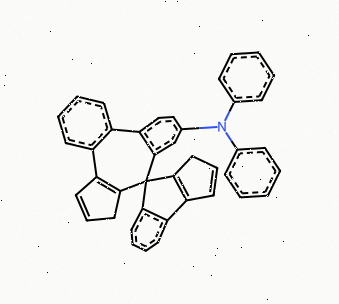 C1=CC2=C(C1)C1(C3=C(C=CC3)c3ccccc31)c1cc(N(c3ccccc3)c3ccccc3)ccc1-c1ccccc12